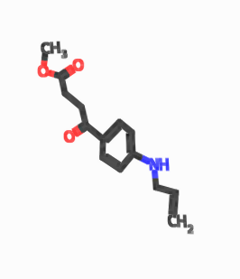 C=CCNc1ccc(C(=O)CCC(=O)OC)cc1